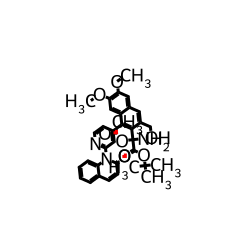 COc1cc2cc(CO)c(C(N)(OC(C)=O)C(=O)OC(C)(C)C)c(-c3ccnc(-n4c(=O)ccc5ccccc54)c3)c2cc1OC